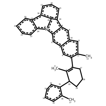 CC1=C(c2cc3cc4c(cc3cc2C)c2cccc3c5ccccc5n4c32)CCCC1c1ccccc1C